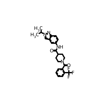 CC(C)n1cc2cc(NC(=O)C3CCN(C(=O)c4ccccc4C(F)(F)F)CC3)ccc2n1